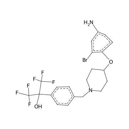 Nc1ccc(OC2CCN(Cc3ccc(C(O)(C(F)(F)F)C(F)(F)F)cc3)CC2)c(Br)c1